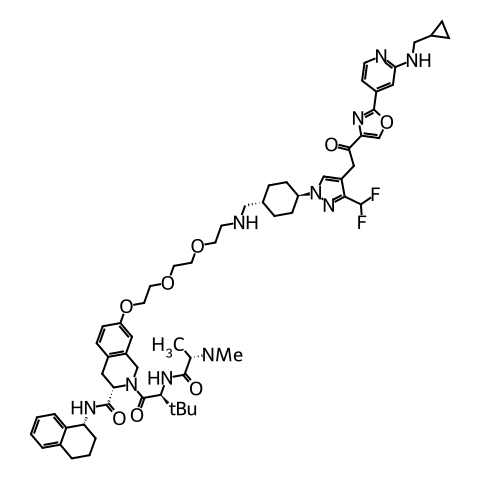 CN[C@@H](C)C(=O)N[C@H](C(=O)N1Cc2cc(OCCOCCOCCNC[C@H]3CC[C@H](n4cc(CC(=O)c5coc(-c6ccnc(NCC7CC7)c6)n5)c(C(F)F)n4)CC3)ccc2C[C@H]1C(=O)N[C@@H]1CCCc2ccccc21)C(C)(C)C